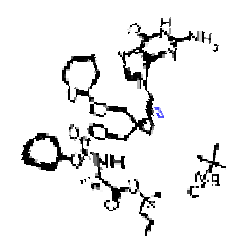 CCC[C@H](C)OC(=O)[C@H](C)N[P@](=O)(OCC1(COC2CCCCO2)C/C1=C/n1cnc2c(=O)[nH]c(N)nc21)Oc1ccccc1.C[C](C)(C)[Mg][Cl]